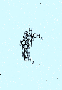 C[C@@H]1CNc2c(sc3ccc4nc(N5CCN(C)CC5)ccc4c23)C(=O)N1